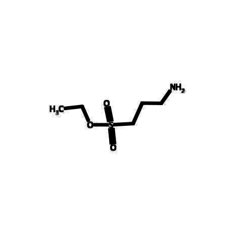 CCOS(=O)(=O)CCCN